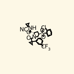 N#CC1(NC(=O)[C@@H]2C[C@@H](S(=O)(=O)c3ccccc3Cl)CN2C(=O)C2(c3cccc(C(F)(F)F)c3)CC2)CC1